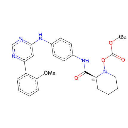 COc1ccccc1-c1cc(Nc2ccc(NC(=O)[C@@H]3CCCCN3OC(=O)OC(C)(C)C)cc2)ncn1